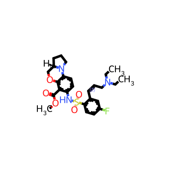 CCN(CC)C/C=C\c1cc(F)ccc1S(=O)(=O)Nc1ccc2c(c1C(=O)OC)OC[C@@H]1CCCN21